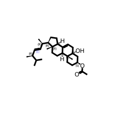 CC(=O)O[C@H]1CC[C@]2(C)[C@H]3CC[C@]4(C)[C@@H]([C@H](C)/C=C/[C@H](C)C(C)C)CC[C@H]4C3=CC[C@@]2(O)C1